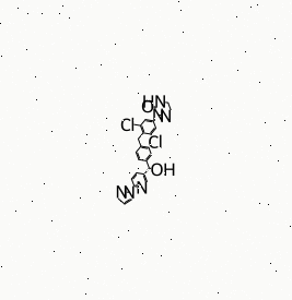 O=C1NCC=NN1c1cc(Cl)c(Cc2ccc(C(O)c3ccc(-n4cccn4)nc3)cc2)c(Cl)c1